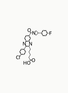 O=C(O)CCCCc1nc2cc(C(=O)N3CC(c4ccc(F)cc4)C3)ccc2nc1-c1ccc(Cl)cc1